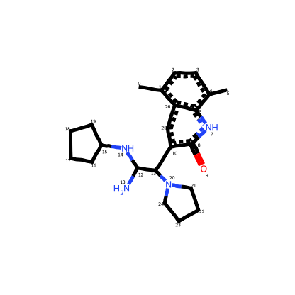 Cc1ccc(C)c2[nH]c(=O)c(C(C(N)NC3CCCC3)N3CCCC3)cc12